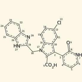 O=C(O)c1c(-c2ccc[nH]c2=O)c2cc(Cl)ccc2n1Cc1nc2ccccc2[nH]1